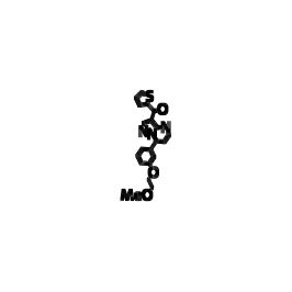 COCCOc1cccc(-c2ccnc3c(C(=O)c4cccs4)cnn23)c1